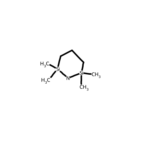 C[Si]1(C)CCC[Si](C)(C)[N]1